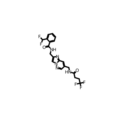 O=C(CCC(F)(F)F)NCc1cnn2cc(CNC(=O)c3ccccc3C(F)F)nc2c1